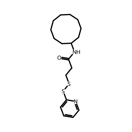 O=C(CCSSc1ccccn1)NC1CCCCCCCCC1